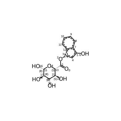 O=C(On1cc(O)c2ccccc21)[C@H]1O[C@@H](O)[C@H](O)[C@@H](O)[C@@H]1O